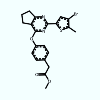 COC(=O)Cc1ccc(Oc2nc(-c3cc(Br)c(C)s3)nc3c2CCC3)cc1